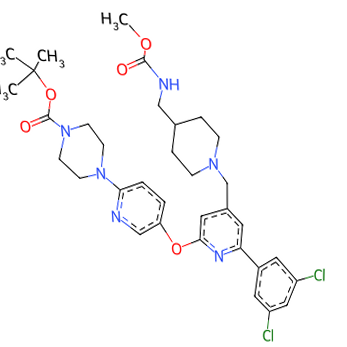 COC(=O)NCC1CCN(Cc2cc(Oc3ccc(N4CCN(C(=O)OC(C)(C)C)CC4)nc3)nc(-c3cc(Cl)cc(Cl)c3)c2)CC1